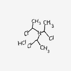 CC(Cl)N(C(C)Cl)C(C)Cl.Cl